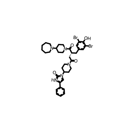 O=C(C[C@@H](Cc1cc(Br)c(O)c(Br)c1)C(=O)N1CCC(N2CCCCCC2)CC1)N1CCC(n2cc(-c3ccccc3)[nH]c2=O)CC1